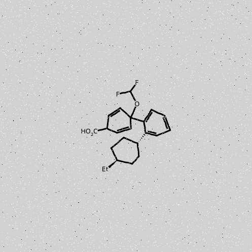 CC[C@H]1CC[C@H](c2ccccc2C2(OC(F)F)C=CC(C(=O)O)C=C2)CC1